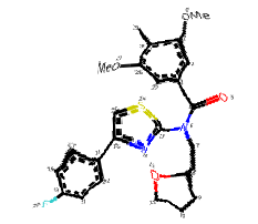 COc1cc(C(=O)N(CC2CCCO2)c2nc(-c3ccc(F)cc3)cs2)cc(OC)c1C